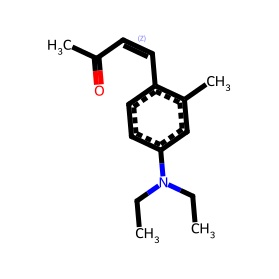 CCN(CC)c1ccc(/C=C\C(C)=O)c(C)c1